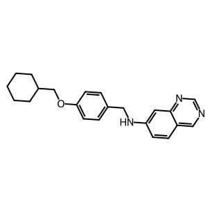 c1ncc2ccc(NCc3ccc(OCC4CCCCC4)cc3)cc2n1